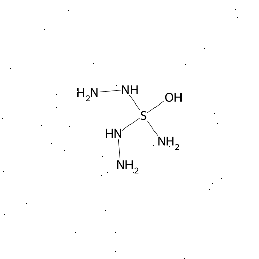 NNS(N)(O)NN